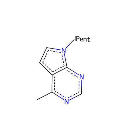 CCCC(C)n1ccc2c(C)ncnc21